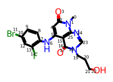 Cn1c(=O)cc(Nc2ccc(Br)cc2F)c2c(=O)n(CCCO)cnc21